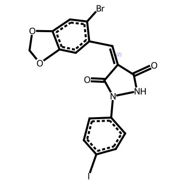 O=C1NN(c2ccc(I)cc2)C(=O)/C1=C\c1cc2c(cc1Br)OCO2